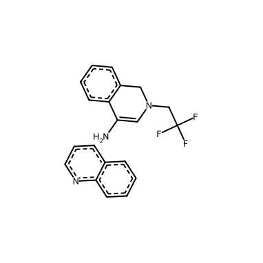 NC1=CN(CC(F)(F)F)Cc2ccccc21.c1ccc2ncccc2c1